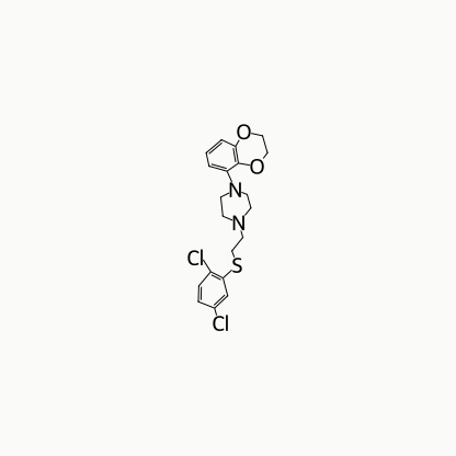 Clc1ccc(Cl)c(SCCN2CCN(c3cccc4c3OCCO4)CC2)c1